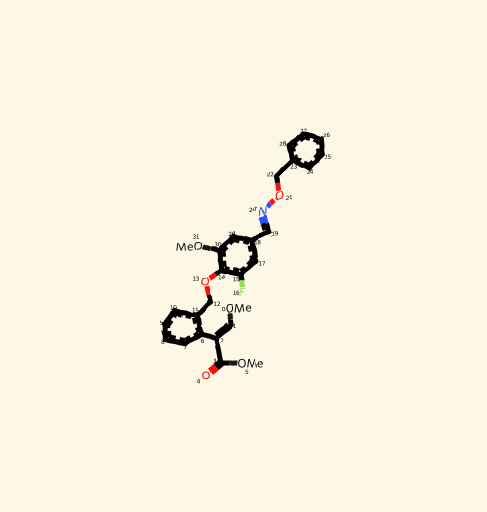 CO/C=C(/C(=O)OC)c1ccccc1COc1c(F)cc(/C=N/OCc2ccccc2)cc1OC